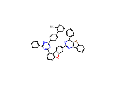 N#Cc1ccccc1-c1ccc(-c2nc(-c3ccccc3)nc(-c3cccc4c3C3=CC=C(C5=Nc6c(sc7ccccc67)C(c6ccccc6)N5)CC3O4)n2)cc1